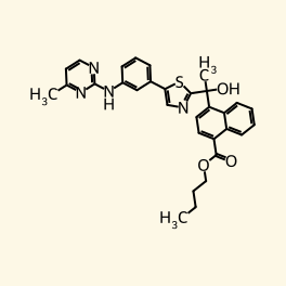 CCCCOC(=O)c1ccc(C(C)(O)c2ncc(-c3cccc(Nc4nccc(C)n4)c3)s2)c2ccccc12